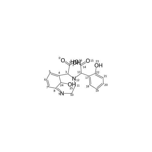 O=C(O)C1C2=CC=CC(=NCCN1C(C(=O)O)c1ccccc1O)C2O